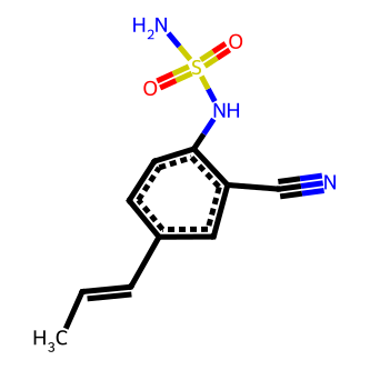 CC=Cc1ccc(NS(N)(=O)=O)c(C#N)c1